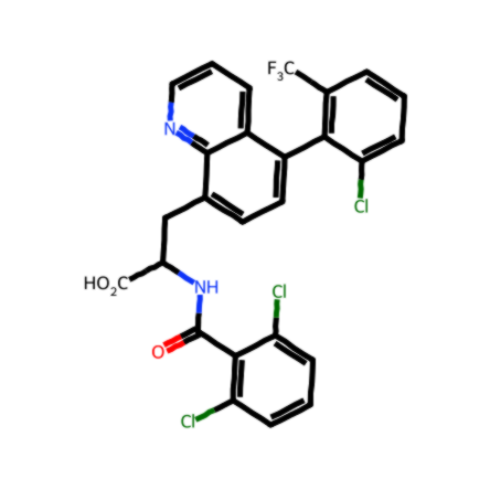 O=C(NC(Cc1ccc(-c2c(Cl)cccc2C(F)(F)F)c2cccnc12)C(=O)O)c1c(Cl)cccc1Cl